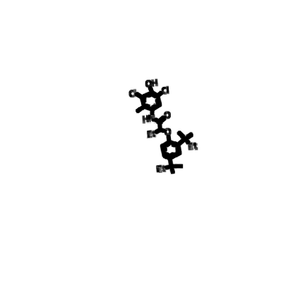 CCC(Oc1ccc(C(C)(C)CC)cc1C(C)(C)CC)C(=O)Nc1cc(Cl)c(O)c(Cl)c1C